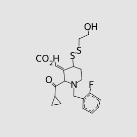 O=C(O)/C=C1\C(SSCCO)CCN(Cc2ccccc2F)C1C(=O)C1CC1